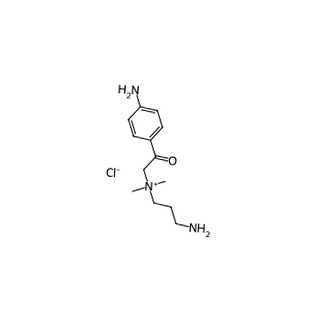 C[N+](C)(CCCN)CC(=O)c1ccc(N)cc1.[Cl-]